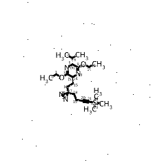 CCOC1=N[C@H](C(C)C)C(OCC)=N[C@H]1CCC1(CCC#C[Si](C)(C)C)N=N1